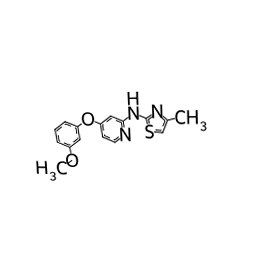 COc1cccc(Oc2ccnc(Nc3nc(C)cs3)c2)c1